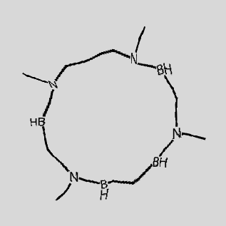 CN1BCBN(C)CBN(C)CCN(C)BC1